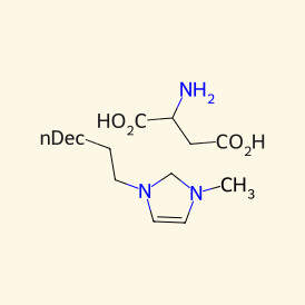 CCCCCCCCCCCCN1C=CN(C)C1.NC(CC(=O)O)C(=O)O